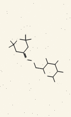 COC1OC(CON=C2CC(C)(C)NC(C)(C)C2)C(O)C(C)C1O